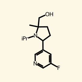 CC(C)N1C(c2cncc(F)c2)CCC1(C)CO